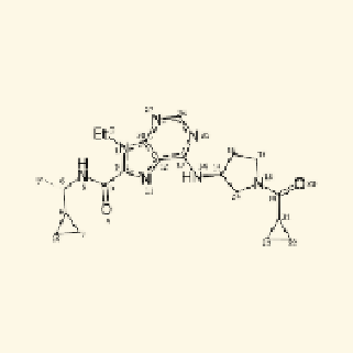 CCn1c(C(=O)N[C@@H](C)C2CC2)nc2c(N[C@H]3CCN(C(=O)C4CC4)C3)ncnc21